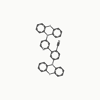 N#Cc1ccc(N2c3ccccc3Sc3ccccc32)cc1-c1cc(N2c3ccccc3Sc3ccccc32)ccn1